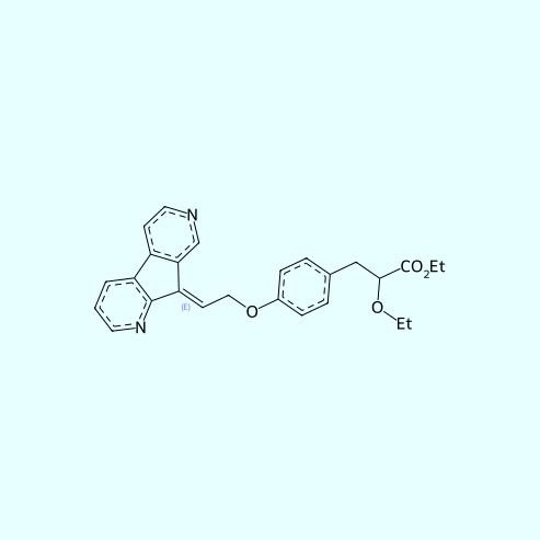 CCOC(=O)C(Cc1ccc(OC/C=C2\c3cnccc3-c3cccnc32)cc1)OCC